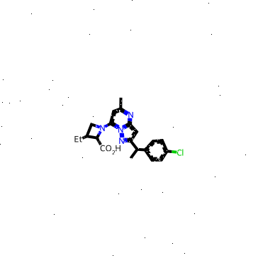 CCC1CN(c2cc(C)nc3cc(C(C)c4ccc(Cl)cc4)nn23)C1C(=O)O